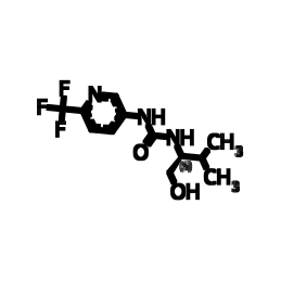 CC(C)[C@@H](CO)NC(=O)Nc1ccc(C(F)(F)F)nc1